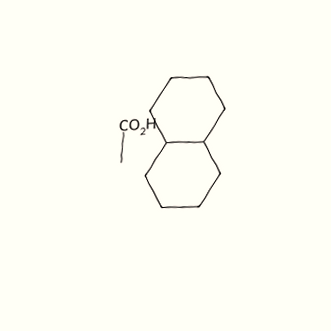 C1CCC2CCCCC2C1.CC(=O)O